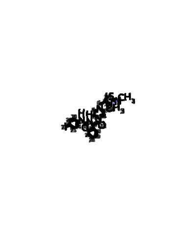 C/N=c1\scc(CN2CCN(C(=O)[C@H](NC(=O)Nc3ccc(I)cc3)c3ccccc3)CC2)n1C